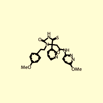 COc1ccc(CCN2C(=O)NC(=S)C2(CC(=O)Nc2ccc(OC)nn2)c2cccnc2)cc1